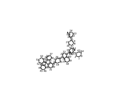 c1ccc(-c2nc(-c3ccc(-c4cccnc4)cc3)cc(-c3ccc(-c4ccc(-c5cccc6c5-c5ccccc5C6(c5ccccc5)c5ccccc5)cc4)c4ccccc34)n2)cc1